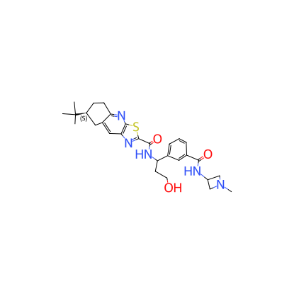 CN1CC(NC(=O)c2cccc(C(CCO)NC(=O)c3nc4cc5c(nc4s3)CC[C@H](C(C)(C)C)C5)c2)C1